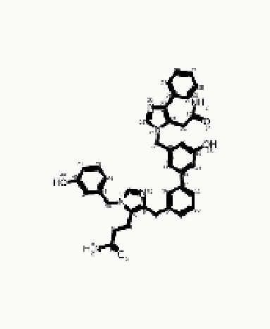 NC(=O)CCc1c(Cc2cccc(-c3cc(O)cc(Cn4cnc(-c5ccccc5)c4CC(N)=O)c3)c2)ncn1Cc1cccc(O)c1